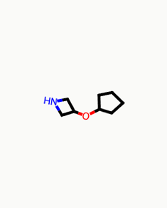 C1CCC(OC2CNC2)C1